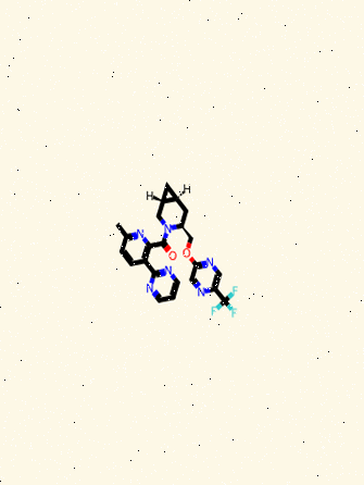 Cc1ccc(-c2ncccn2)c(C(=O)N2C[C@@H]3C[C@H]3C[C@H]2COc2cnc(C(F)(F)F)cn2)n1